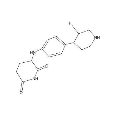 O=C1CCC(Nc2ccc(C3CCNCC3F)cc2)C(=O)N1